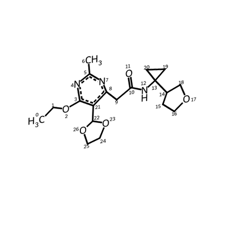 CCOc1nc(C)nc(CC(=O)NC2(C3CCOC3)CC2)c1C1OCCO1